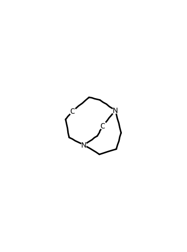 C1CCN2CCCN(CC1)CC2